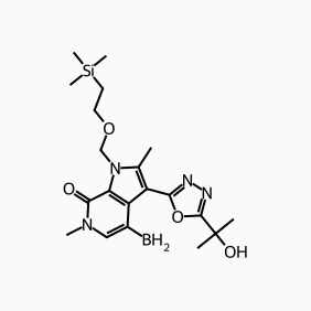 Bc1cn(C)c(=O)c2c1c(-c1nnc(C(C)(C)O)o1)c(C)n2COCC[Si](C)(C)C